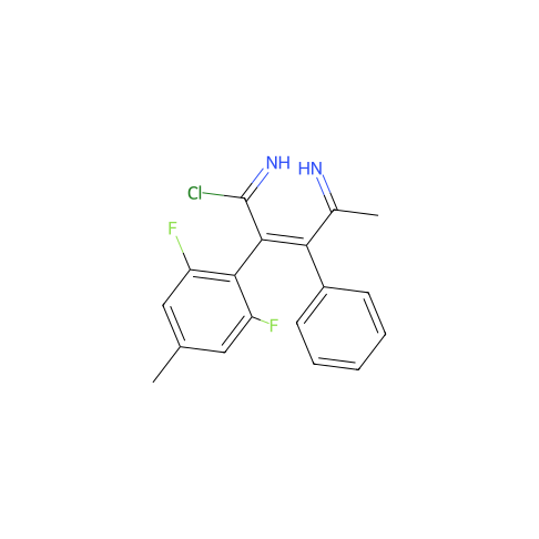 CC(=N)/C(=C(\C(=N)Cl)c1c(F)cc(C)cc1F)c1ccccc1